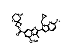 CCc1ccc2cc(-c3nc4cc(C(=O)N5CC6(CNCCO6)C5)cc(OC)n4c3C)n(CC3CC3)c2n1